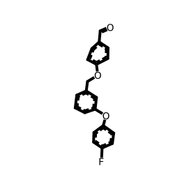 O=Cc1ccc(OCc2cccc(Oc3ccc(F)cc3)c2)cc1